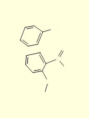 COc1ccccc1[N+](=O)[O-].Oc1ccccc1